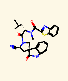 CC(C)C[C@@H](C(=O)N1C[C@]2(C[C@H]1C#N)C(=O)Nc1ccccc12)N(C)C(=O)c1nc2ccccc2s1